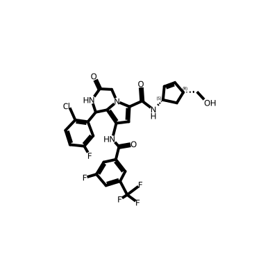 O=C1Cn2c(C(=O)N[C@@H]3C=C[C@H](CO)C3)cc(NC(=O)c3cc(F)cc(C(F)(F)F)c3)c2C(c2cc(F)ccc2Cl)N1